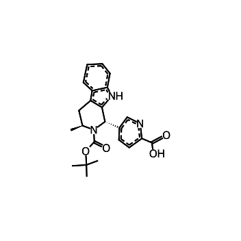 C[C@H]1Cc2c([nH]c3ccccc23)[C@H](c2ccc(C(=O)O)nc2)N1C(=O)OC(C)(C)C